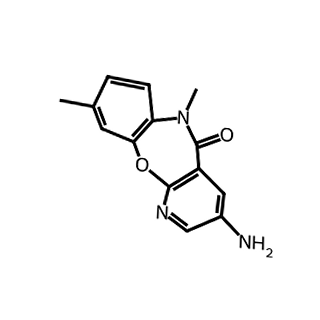 Cc1ccc2c(c1)Oc1ncc(N)cc1C(=O)N2C